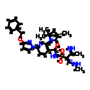 CN/C=C(\C(C)=N)S(=O)(=O)NC(=O)c1ccc(-n2ccc(OCc3ccccc3)n2)nc1N1C[C@@H](C)CC1(C)C